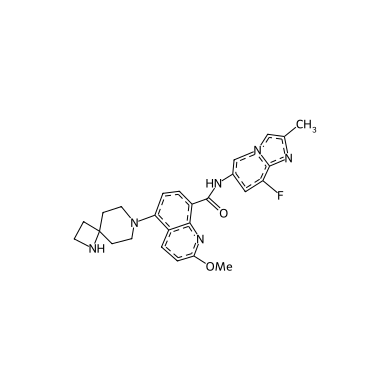 COc1ccc2c(N3CCC4(CCN4)CC3)ccc(C(=O)Nc3cc(F)c4nc(C)cn4c3)c2n1